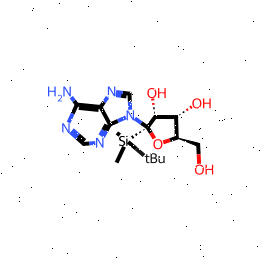 CC(C)(C)[Si](C)(C)[C@@]1(n2cnc3c(N)ncnc32)O[C@H](CO)[C@@H](O)[C@H]1O